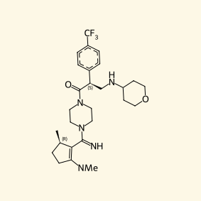 CNC1=C(C(=N)N2CCN(C(=O)[C@H](CNC3CCOCC3)c3ccc(C(F)(F)F)cc3)CC2)[C@H](C)CC1